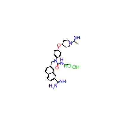 CCNC(=O)N(Cc1ccc2ccc(C(=N)N)cc2c1)c1ccc(OC2CCN(C(C)=N)CC2)cc1.Cl.Cl